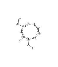 CCn1cncccc(OC)cc1C